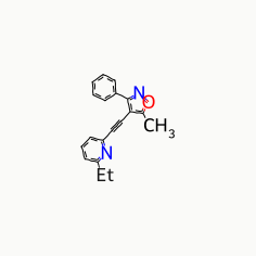 CCc1cccc(C#Cc2c(-c3ccccc3)noc2C)n1